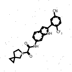 N#Cc1ccc(C(F)(F)F)c(-c2cc3ccc(NC(=O)C(=O)N4CCC5(CC5)C4)cc3[nH]2)c1